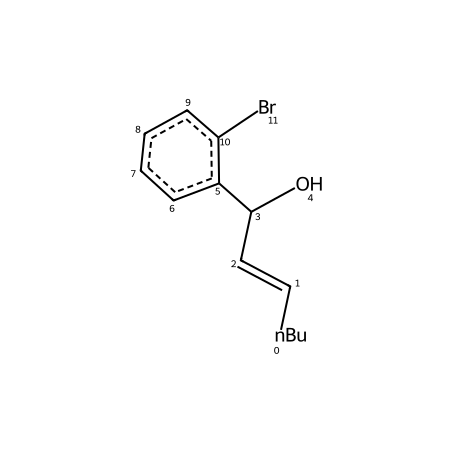 CCCC/C=C/C(O)c1ccccc1Br